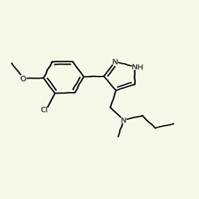 CCCN(C)Cc1c[nH]nc1-c1ccc(OC)c(Cl)c1